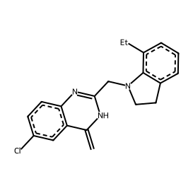 C=C1NC(CN2CCc3cccc(CC)c32)=Nc2ccc(Cl)cc21